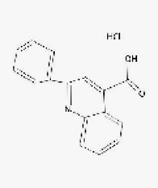 Cl.O=C(O)c1cc(-c2ccccc2)nc2ccccc12